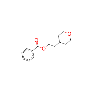 O=C(OCCC1CCOCC1)c1ccccc1